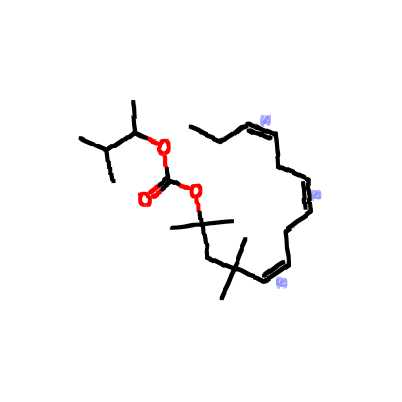 CC/C=C\C/C=C\C/C=C\C(C)(C)CC(C)(C)OC(=O)OC(C)C(C)C